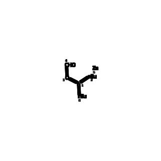 CCCCN(CCCC)OC=O.[Zn]